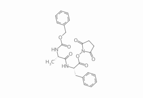 C[C@H](NC(=O)OCc1ccccc1)C(=O)N[C@@H](Cc1ccccc1)C(=O)ON1C(=O)CCC1=O